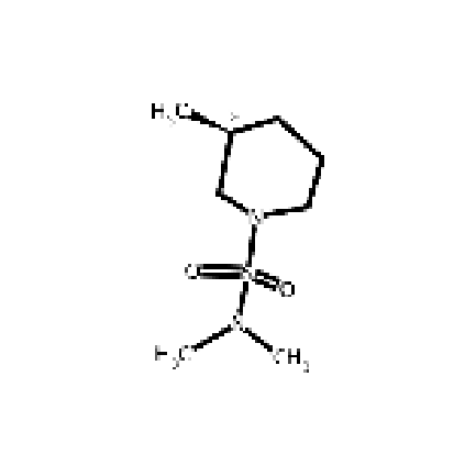 C[C@H]1CCCN(S(=O)(=O)N(C)C)C1